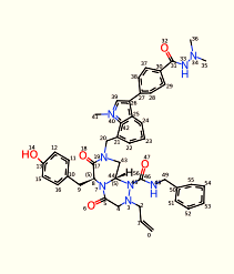 C=CCN1CC(=O)N2[C@@H](Cc3ccc(O)cc3)C(=O)N(Cc3cccc4c(-c5ccc(C(=O)NN(C)C)cc5)cn(C)c34)C[C@@H]2N1C(=O)NCc1ccccc1